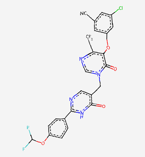 N#Cc1cc(Cl)cc(Oc2c(C(F)(F)F)ncn(Cc3cnc(-c4ccc(OC(F)F)cc4)[nH]c3=O)c2=O)c1